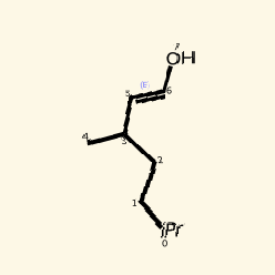 CC(C)CCC(C)/C=C/O